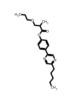 CCCCCc1cnc(-c2ccc(OC(=O)C(C)COCCC)cc2)cn1